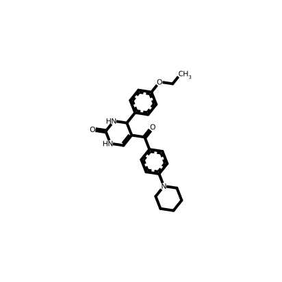 CCOc1ccc(C2NC(=O)NC=C2C(=O)c2ccc(N3CCCCC3)cc2)cc1